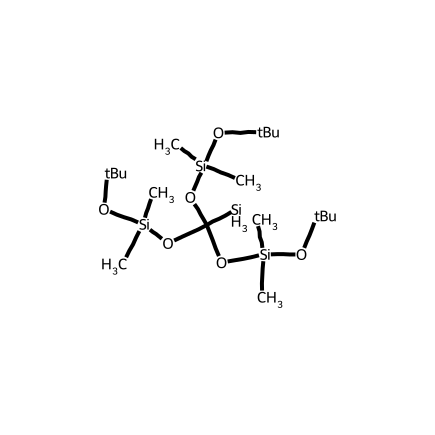 CC(C)(C)O[Si](C)(C)OC([SiH3])(O[Si](C)(C)OC(C)(C)C)O[Si](C)(C)OC(C)(C)C